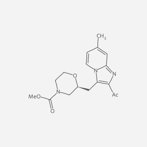 COC(=O)N1CCO[C@@H](Cc2c(C(C)=O)nc3cc(C)ccn23)C1